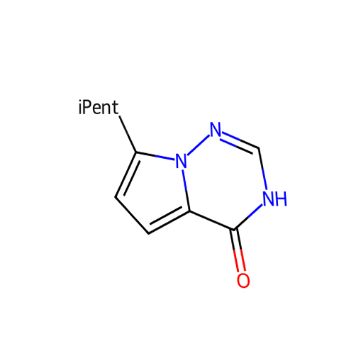 CCCC(C)c1ccc2c(=O)[nH]cnn12